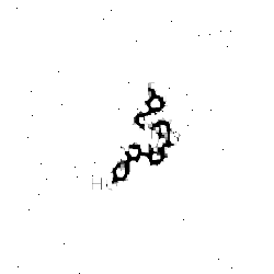 OC1CCN(c2cc(-c3cccc(-c4cnc5ccc(N6CCCC6c6cccc(F)c6)nn45)n3)ccn2)CC1